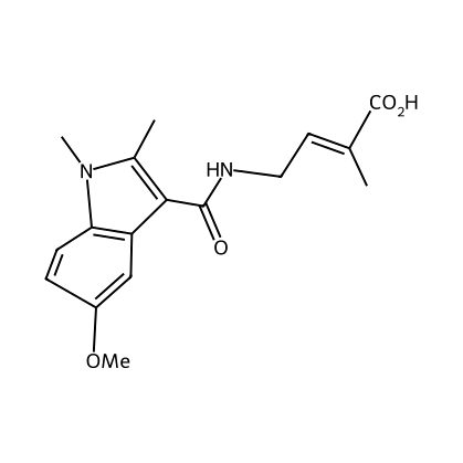 COc1ccc2c(c1)c(C(=O)NCC=C(C)C(=O)O)c(C)n2C